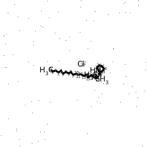 CCCCCCCCCCCCCCCCCC[N+](C)(C)CC1CCCCCN1.[Cl-]